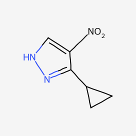 O=[N+]([O-])c1c[nH]nc1C1CC1